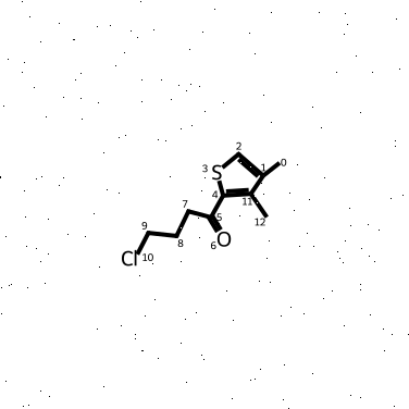 Cc1csc(C(=O)CCCCl)c1C